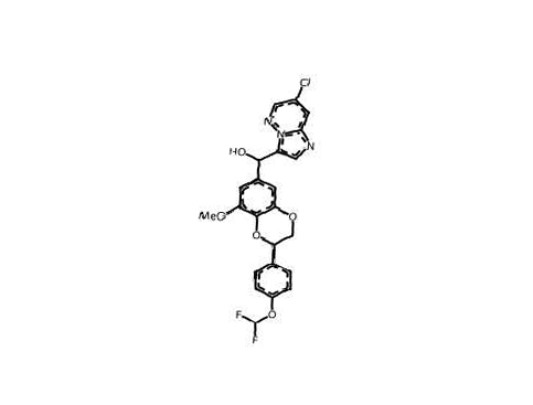 COc1cc(C(O)c2cnc3cc(Cl)cnn23)cc2c1OC(c1ccc(OC(F)F)cc1)CO2